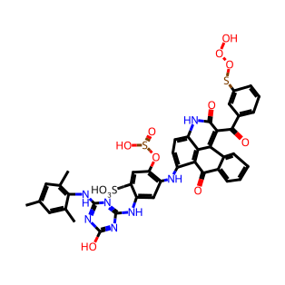 Cc1cc(C)c(Nc2nc(O)nc(Nc3cc(Nc4ccc5[nH]c(=O)c(C(=O)c6cccc(SOOO)c6)c6c5c4C(=O)c4ccccc4-6)c(OS(=O)O)cc3S(=O)(=O)O)n2)c(C)c1